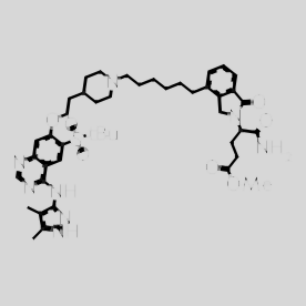 COC(=O)CCC(C(N)=O)N1Cc2c(CCCCCCN3CCC(CCOc4cc5ncnc(Nc6n[nH]c(C)c6C)c5cc4S(=O)(=O)C(C)(C)C)CC3)cccc2C1=O